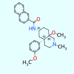 COc1cccc([C@@]23CCN(C)C[C@@]2(OC)CC[C@@H](NC(=O)c2ccc4ccccc4c2)C3)c1